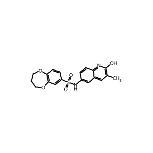 Cc1cc2cc(NS(=O)(=O)c3ccc4c(c3)OCCCO4)ccc2nc1O